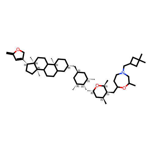 C=C1C=C([C@H]2CC[C@]3(C)C4CCC5C[C@@H](C[C@@H]6C[C@@H](C)[C@@H](C[C@H]7C[C@H](C)[C@H](CC8CCN(CC9CC(C)(C)C9)CC(C)O8)[C@H](C)O7)[C@@H](C)C6)CC[C@]5(C)C4CC[C@]23C)CO1